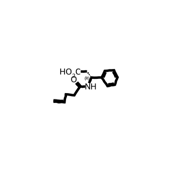 C=CCCC(=O)N[C@H](CC(=O)O)c1ccccc1